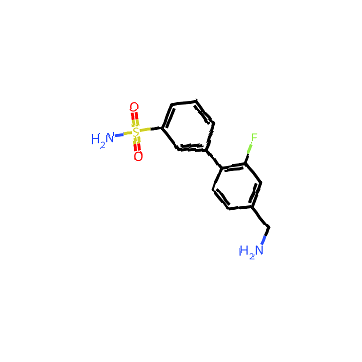 NCc1ccc(-c2cccc(S(N)(=O)=O)c2)c(F)c1